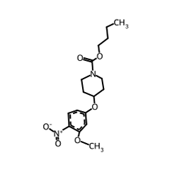 CCCCOC(=O)N1CCC(Oc2ccc([N+](=O)[O-])c(OC)c2)CC1